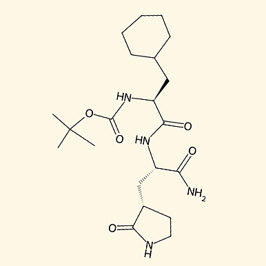 CC(C)(C)OC(=O)N[C@@H](CC1CCCCC1)C(=O)N[C@@H](C[C@@H]1CCNC1=O)C(N)=O